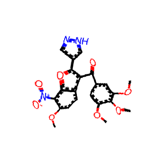 COc1cc(C(=O)c2c(-c3cn[nH]c3)oc3c([N+](=O)[O-])c(OC)ccc23)cc(OC)c1OC